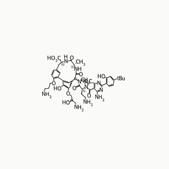 Cc1nc(-c2ccc(C(C)(C)C)cc2O)nc(N)c1C(=O)N[C@@H](CCN)C(=O)N(C)[C@@H]1C(=O)N[C@@H](C)C(=O)N[C@H](C(=O)O)Cc2ccc(OCCCN)c(c2)-c2cc1cc(OC[C@H](O)CN)c2O